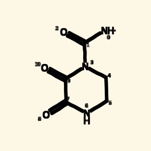 [NH]C(=O)N1CCNC(=O)C1=O